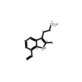 C=Cc1cccc2c(CCC(=O)O)c(C)[nH]c12